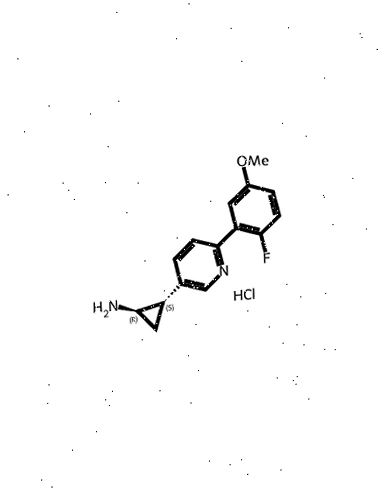 COc1ccc(F)c(-c2ccc([C@@H]3C[C@H]3N)cn2)c1.Cl